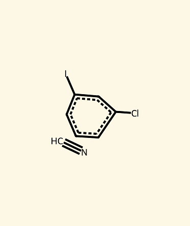 C#N.Clc1cccc(I)c1